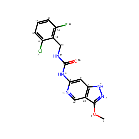 COc1n[nH]c2cc(NC(=O)NCc3c(F)cccc3Cl)ncc12